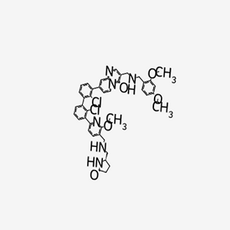 COc1ccc(CNCc2cnc3cc(-c4cccc(-c5cccc(-c6ccc(CNC[C@H]7CCC(=O)N7)c(OC)n6)c5Cl)c4Cl)ccn3c2=O)c(OC)c1